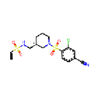 C=CS(=O)(=O)NC[C@H]1CCCN(S(=O)(=O)c2ccc(C#N)cc2Cl)C1